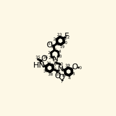 COc1ccc(OC)c(N(CCN2CCC(C(=O)c3ccc(F)cc3)CC2)C(=O)c2ccc(NC(C)=O)cc2)c1